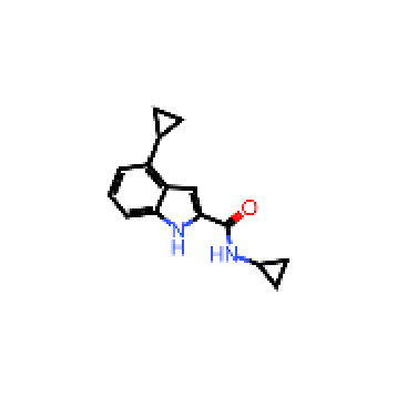 O=C(NC1CC1)c1cc2c(C3CC3)cccc2[nH]1